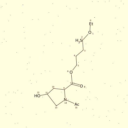 CCO[SiH2]CCCOC(=O)C1CC(O)CN1C(C)=O